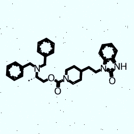 C[C@@H](COC(=O)N1CCC(CCn2c(=O)[nH]c3ccccc32)CC1)N(Cc1ccccc1)Cc1ccccc1